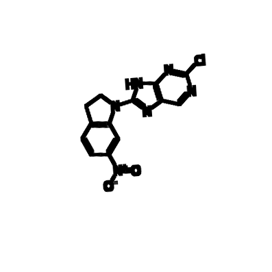 O=[N+]([O-])c1ccc2c(c1)N(c1nc3cnc(Cl)nc3[nH]1)CC2